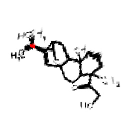 CC(C)C1=CC23CCC4C(C)(C(=O)CO)CCCC4(C)C2CC1C(C(=O)O)C3